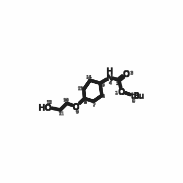 CC(C)(C)OC(=O)NC1CCC(OCCO)CC1